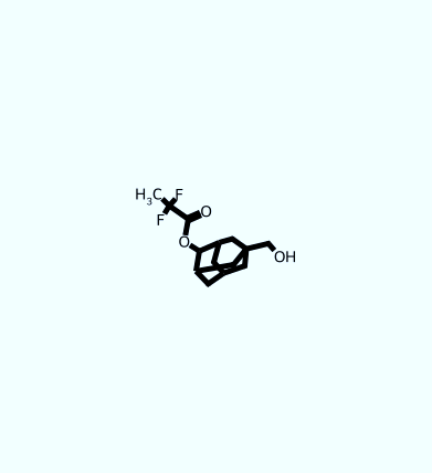 CC(F)(F)C(=O)OC1C2CC3CC1CC(CO)(C3)C2